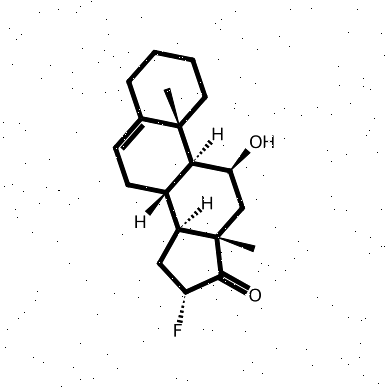 C[C@]12CCCCC1=CC[C@@H]1[C@@H]2[C@@H](O)C[C@]2(C)C(=O)[C@H](F)C[C@@H]12